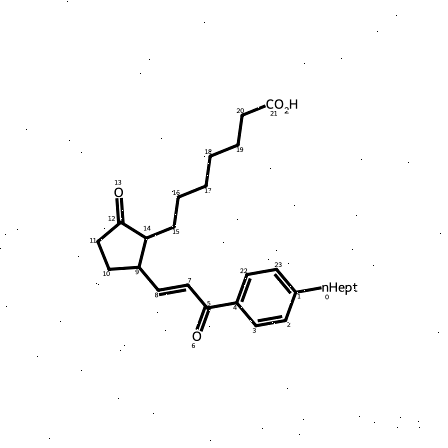 CCCCCCCc1ccc(C(=O)C=CC2CCC(=O)C2CCCCCCC(=O)O)cc1